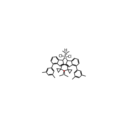 CCCC1(CC2=Cc3c(-c4cc(C)cc(C)c4)cccc3[CH]2[Zr]([Cl])([Cl])([CH]2C(CC3(CCC)CC3)=Cc3c(-c4cc(C)cc(C)c4)cccc32)[SiH](C)C)CC1